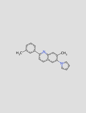 Cc1cccc(-c2ccc3cc(-n4cccc4)c(C)cc3n2)c1